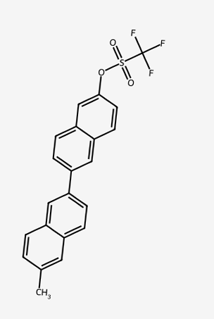 Cc1ccc2cc(-c3ccc4cc(OS(=O)(=O)C(F)(F)F)ccc4c3)ccc2c1